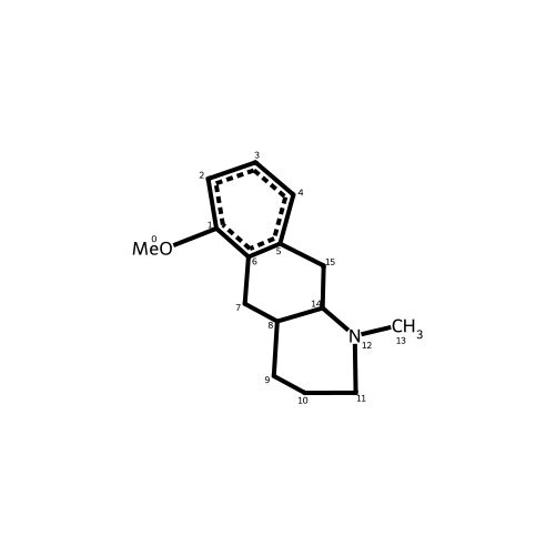 COc1cccc2c1CC1CCCN(C)C1C2